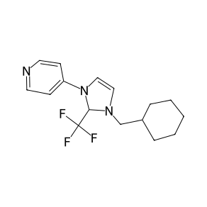 FC(F)(F)C1N(CC2CCCCC2)C=CN1c1ccncc1